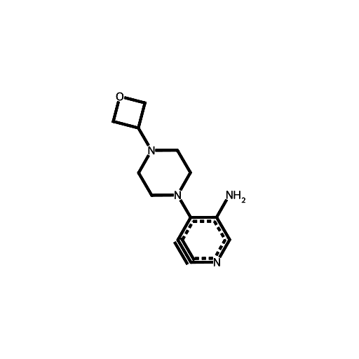 Nc1cnc#cc1N1CCN(C2COC2)CC1